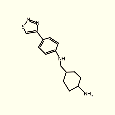 NC1CCC(CNc2ccc(-c3csnn3)cc2)CC1